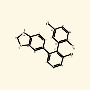 CCc1cccc(-c2ccc3c(c2)SCN3)c1-c1cc(Cl)ccc1Cl